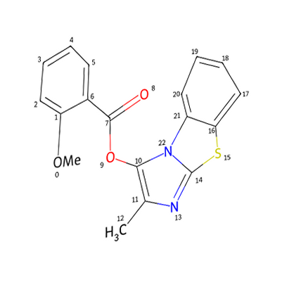 COc1ccccc1C(=O)Oc1c(C)nc2sc3ccccc3n12